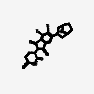 O=C1CCC(N2C(=O)c3cc(N4CC5CCC(C4)N5)c(F)c(F)c3C2=O)C(=O)N1